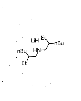 CCCCC(CC)CNCC(CC)CCCC.[LiH]